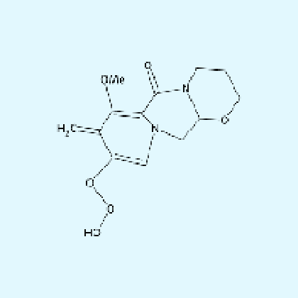 C=C1C(OOO)=CN2CC3OCCCN3C(=O)C2=C1OC